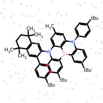 Cc1cc2c3c(c1)N(c1cc4c(cc1-c1ccc(C(C)(C)C)cc1)C(C)(C)CCC4(C)C)c1ccc(C(C)(C)C)cc1B3c1cc(C(C)(C)C)ccc1N2c1ccc(C(C)(C)C)cc1